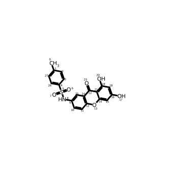 Cc1ccc(S(=O)(=O)Nc2ccc3oc4cc(O)cc(O)c4c(=O)c3c2)cc1